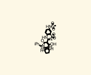 CC(C)CN1C(=O)C(C2=NS(=O)(=O)c3cc(NS(C)(=O)=O)ccc3N2)=C(O)[C@@H]2[C@H]3CC[C@H](C3)[C@@H]21